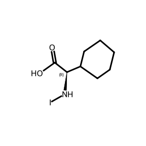 O=C(O)[C@H](NI)C1CCCCC1